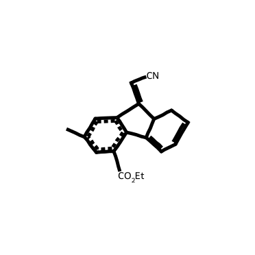 CCOC(=O)c1cc(C)cc2c1C1=CC=CCC1/C2=C\C#N